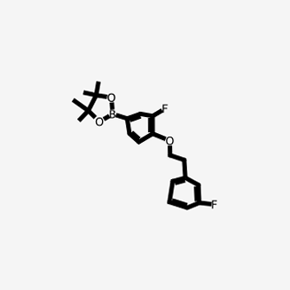 CC1(C)OB(c2ccc(OCCc3cccc(F)c3)c(F)c2)OC1(C)C